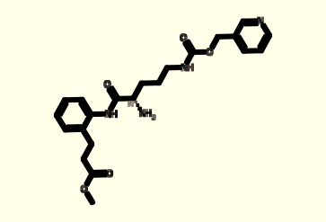 COC(=O)CCc1ccccc1NC(=O)[C@@H](N)CCCNC(=O)OCc1cccnc1